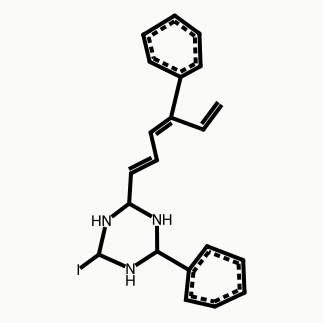 C=C/C(=C\C=C\C1NC(I)NC(c2ccccc2)N1)c1ccccc1